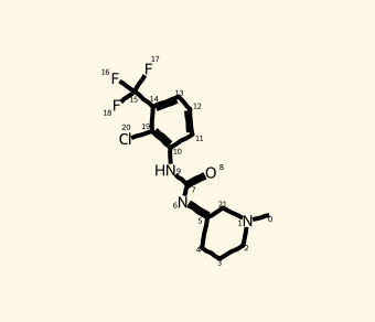 CN1CCC/C(=N/C(=O)Nc2cccc(C(F)(F)F)c2Cl)C1